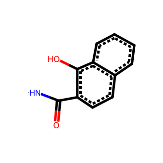 [NH]C(=O)c1ccc2ccccc2c1O